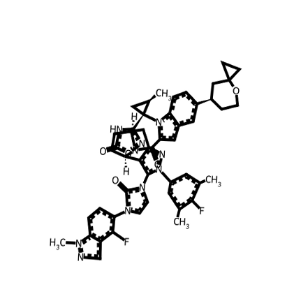 Cc1cc(-n2nc3c(c2-n2ccn(-c4ccc5c(cnn5C)c4F)c2=O)[C@H]2CC[C@@H](C3)N2C(=O)c2cc3cc([C@@H]4CCOC5(CC5)C4)ccc3n2[C@]2(c3noc(=O)[nH]3)C[C@H]2C)cc(C)c1F